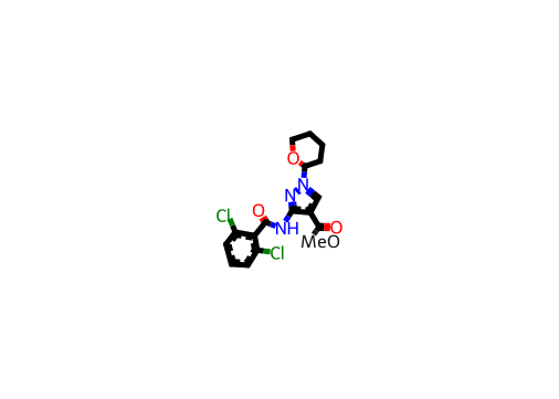 COC(=O)c1cn(C2CCCCO2)nc1NC(=O)c1c(Cl)cccc1Cl